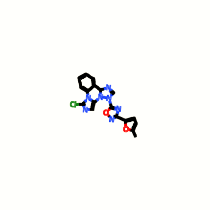 Cc1ccc(-c2noc(N3C=NC4c5ccccc5-n5c(cnc5Cl)N43)n2)o1